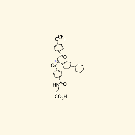 O=C(O)CCNC(=O)c1ccc(C(=O)/C(=C/C(=O)c2ccc(OC(F)(F)F)cc2)c2ccc(C3CCCCC3)cc2)cc1